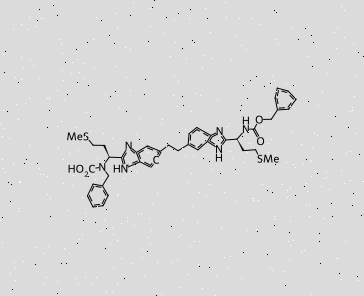 CSCC[C@H](NC(=O)OCc1ccccc1)c1nc2ccc(CCc3ccc4[nH]c([C@H](CCSC)N(Cc5ccccc5)C(=O)O)nc4c3)cc2[nH]1